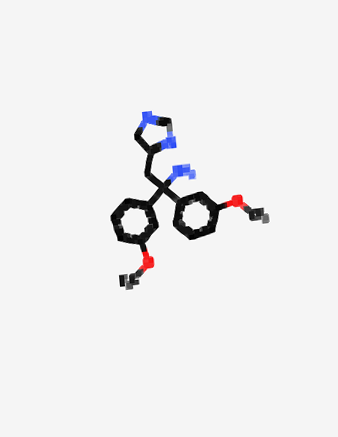 NC(CC1=NC=NC1)(c1cccc(OC(F)(F)F)c1)c1cccc(OC(F)(F)F)c1